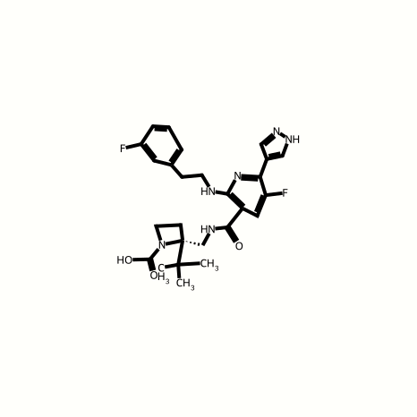 CC(C)(C)[C@]1(CNC(=O)c2cc(F)c(-c3cn[nH]c3)nc2NCCc2cccc(F)c2)CCN1C(=O)O